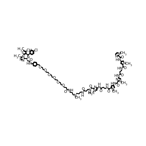 Cc1sc2c(c1C)C(c1ccc(Cl)cc1)=N[C@@H](CC(=O)Nc1ccc(COCCOCCOCCOCCOCCOCCC(=O)NCCCN(C)CCCNC(=O)CCNC(=O)c3nc(NC(=O)CCNC(=O)c4cc(NC(=O)c5nc(NC(=O)CCNC(=O)c6cc(NC(=O)c7nccn7C)cn6C)cn5C)cn4C)cn3C)cc1)c1nnc(C)n1-2